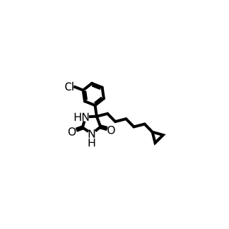 O=C1NC(=O)C(CCCCCC2CC2)(c2cccc(Cl)c2)N1